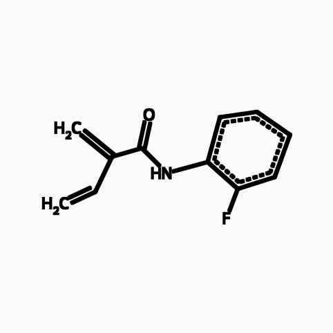 C=CC(=C)C(=O)Nc1ccccc1F